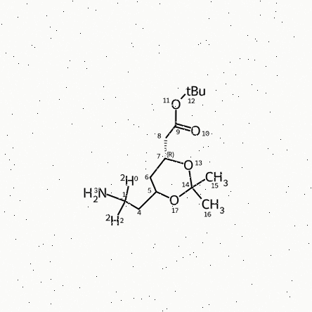 [2H]C([2H])(N)CC1C[C@H](CC(=O)OC(C)(C)C)OC(C)(C)O1